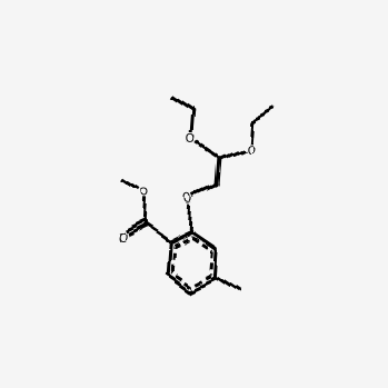 CCOC(COc1cc(C)ccc1C(=O)OC)OCC